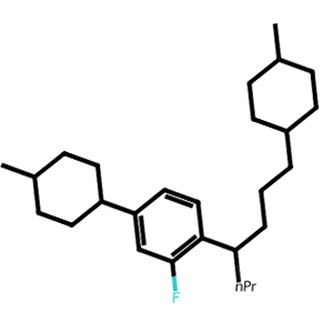 CCCC(CCCC1CCC(C)CC1)c1ccc(C2CCC(C)CC2)cc1F